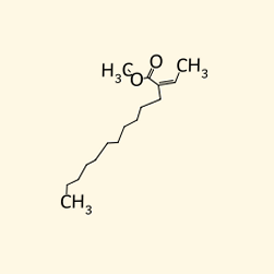 CC=C(CCCCCCCCCCC)C(=O)OC